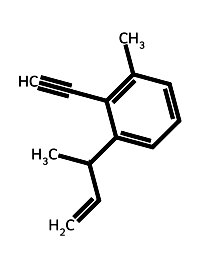 C#Cc1c(C)cccc1[C](C)C=C